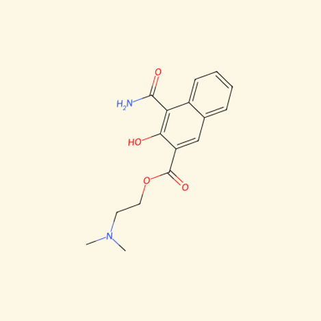 CN(C)CCOC(=O)c1cc2ccccc2c(C(N)=O)c1O